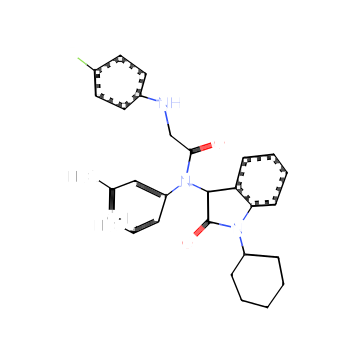 C=C(C)/C=C(\C=C/C)N(C(=O)CNc1ccc(F)cc1)C1C(=O)N(C2CCCCC2)c2ccccc21